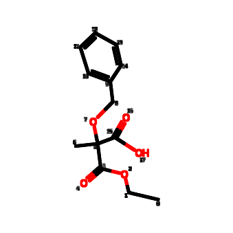 CCOC(=O)C(C)(OCc1ccccc1)C(=O)O